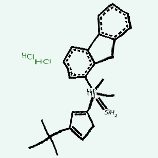 CC(C)(C)C1=CC[C]([Hf]([CH3])([CH3])(=[SiH2])[c]2cccc3c2Cc2ccccc2-3)=C1.Cl.Cl